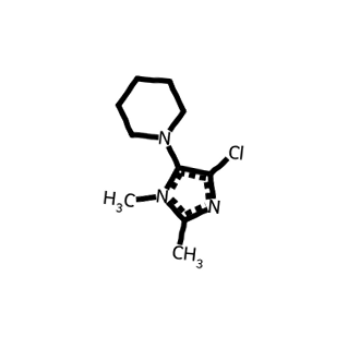 Cc1nc(Cl)c(N2CCCCC2)n1C